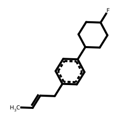 CC=CCc1ccc(C2CCC(F)CC2)cc1